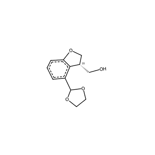 OC[C@H]1COc2cccc(C3OCCO3)c21